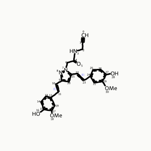 C#CCNC(=O)Cn1nc(/C=C/c2ccc(O)c(OC)c2)cc1/C=C/c1ccc(O)c(OC)c1